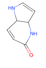 O=C1C=CC2NC=CC2N1